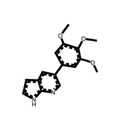 COc1cc(-c2cnc3[nH]c[c]c3c2)cc(OC)c1OC